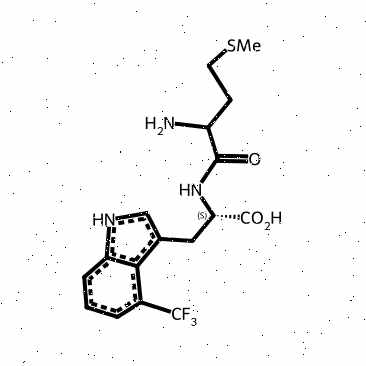 CSCCC(N)C(=O)N[C@@H](Cc1c[nH]c2cccc(C(F)(F)F)c12)C(=O)O